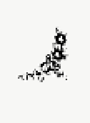 COCCOC(=O)N1CCN(S(=O)(=O)c2cc(F)c(Oc3ccc(F)cc3)c(F)c2)[C@@H](C(N)=O)C1